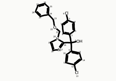 OC(c1ccc(Cl)cc1)(c1ccc(Cl)cc1)c1nccn1COCc1ccccc1